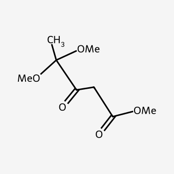 COC(=O)CC(=O)C(C)(OC)OC